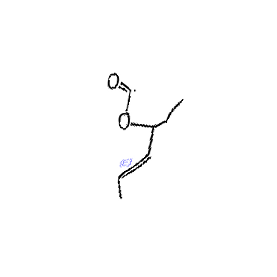 C/C=C/C(CC)O[C]=O